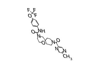 Cc1cnc(C(=O)N2CCC3(CC2)CN(C(=O)Nc2ccc(OC(F)(F)F)cc2)CCO3)cn1